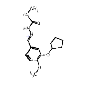 COc1ccc(/C=N/NC(=O)NN)cc1OC1CCCC1